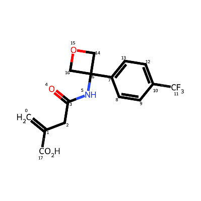 C=C(CC(=O)NC1(c2ccc(C(F)(F)F)cc2)COC1)C(=O)O